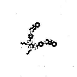 CCCCOC(=O)[C@H](OC(=O)c1ccc(OC/C=C/C2(C(C)CCC)CCCCC2)cc1)[C@@H](OC(=O)c1ccc(OC/C=C/C2(C(C)CCC)CCCCC2)cc1)C(=O)OCCCC